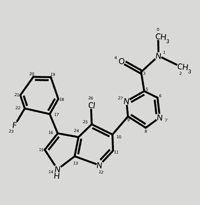 CN(C)C(=O)c1cncc(-c2cnc3[nH]cc(-c4ccccc4F)c3c2Cl)n1